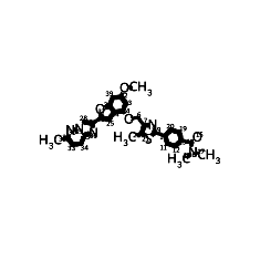 COc1cc(OCc2nc(-c3ccc(C(=O)N(C)C)cc3)sc2C)c2cc(-c3cn4nc(C)ccc4n3)oc2c1